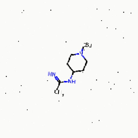 CC(=N)NC1CCN(C(C)(C)C)CC1